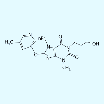 CCCn1c(Oc2cncc(C)c2)nc2c1c(=O)n(CCCO)c(=O)n2C